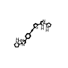 C(#Cc1ccc(-c2cnc([C@H]3CCCN3)[nH]2)s1)c1ccc(-c2cnc([C@H]3CCCN3)[nH]2)cc1